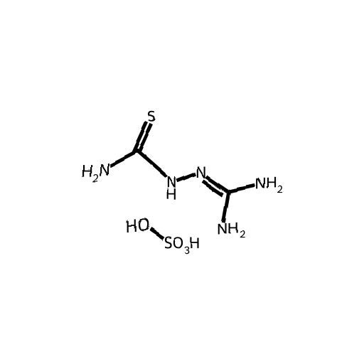 NC(=S)NN=C(N)N.O=S(=O)(O)O